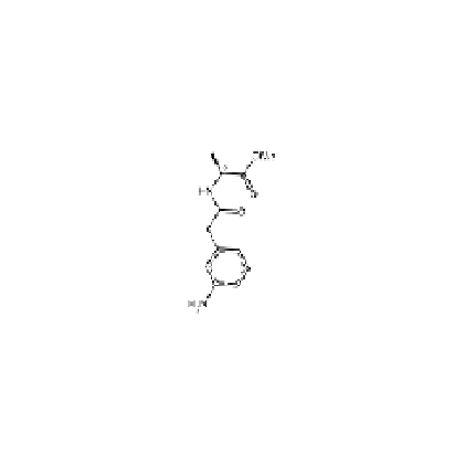 COC(=O)[C@H](C)NC(=O)Cc1cccc(N)c1